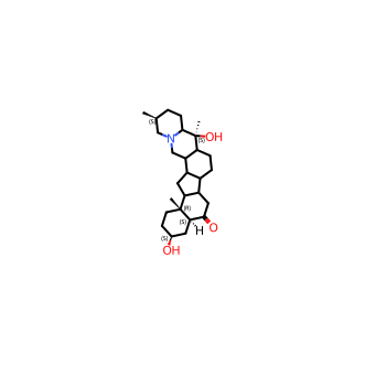 C[C@H]1CCC2N(CC3C4CC5C(CC(=O)[C@H]6C[C@@H](O)CC[C@]56C)C4CCC3[C@]2(C)O)C1